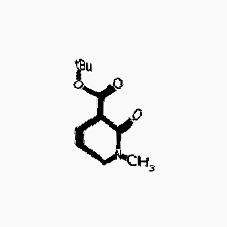 CN1CCCC(C(=O)OC(C)(C)C)C1=O